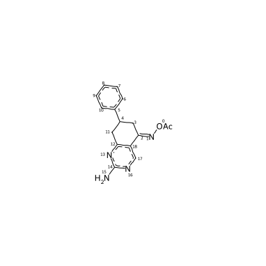 CC(=O)O/N=C1\CC(c2ccccc2)Cc2nc(N)ncc21